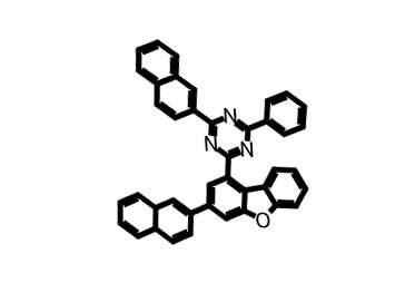 C1=CC2C=CC(c3cc(-c4nc(-c5ccccc5)nc(-c5ccc6ccccc6c5)n4)c4c(c3)oc3ccccc34)=CC2C=C1